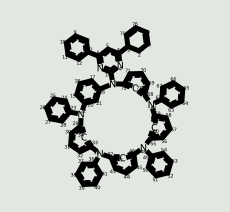 C1=CCC(c2cc(-c3ccccc3)nc(N3c4cccc(c4)N(c4ccccc4)c4cccc(c4)N(c4ccccc4)c4cccc(c4)N(c4ccccc4)c4cccc(c4)N(c4ccccc4)c4cccc3c4)n2)C=C1